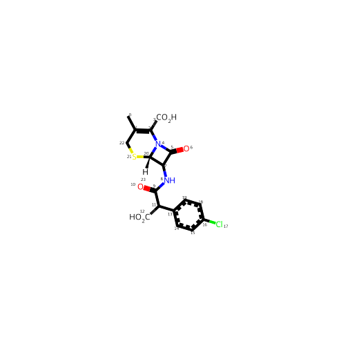 CC1=C(C(=O)O)N2C(=O)C(NC(=O)C(C(=O)O)c3ccc(Cl)cc3)[C@@H]2SC1